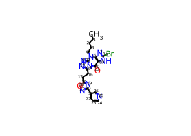 CCCCCn1c2nc(Br)[nH]c2c(=O)n2c(CCc3nc(-c4cccnc4)no3)nnc12